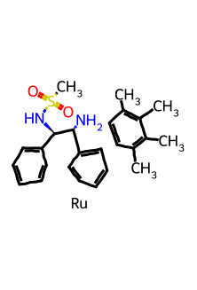 CS(=O)(=O)N[C@H](c1ccccc1)[C@H](N)c1ccccc1.Cc1ccc(C)c(C)c1C.[Ru]